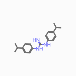 CC(C)c1ccc(NC(=N)Nc2ccc(C(C)C)cc2)cc1